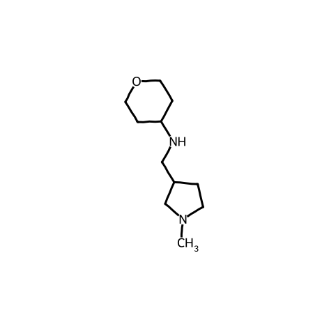 CN1CCC(CNC2CCOCC2)C1